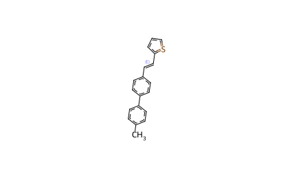 Cc1ccc(-c2ccc(/C=C/c3cccs3)cc2)cc1